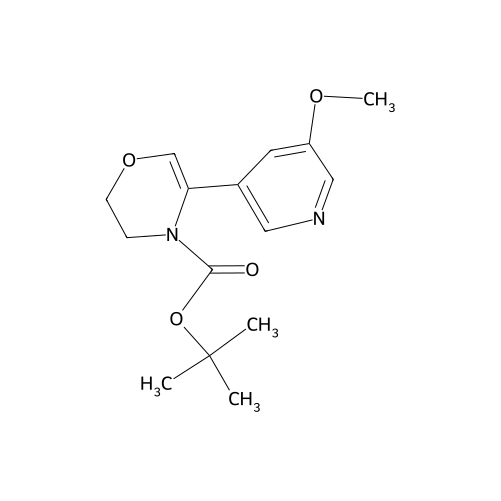 COc1cncc(C2=COCCN2C(=O)OC(C)(C)C)c1